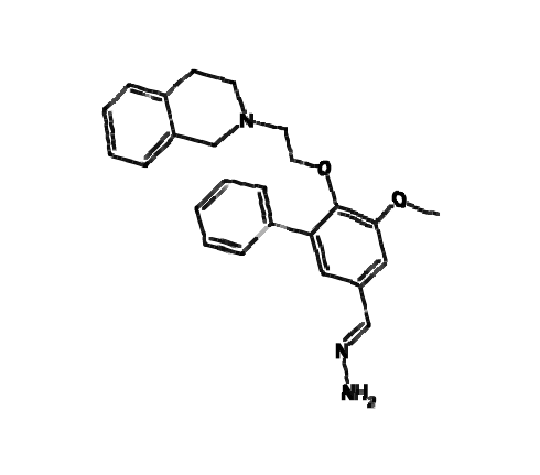 COc1cc(C=NN)cc(-c2ccccc2)c1OCCN1CCc2ccccc2C1